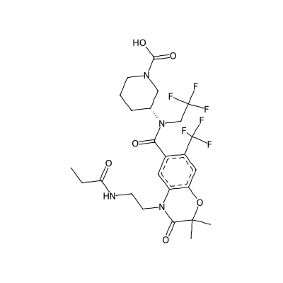 CCC(=O)NCCN1C(=O)C(C)(C)Oc2cc(C(F)(F)F)c(C(=O)N(CC(F)(F)F)[C@@H]3CCCN(C(=O)O)C3)cc21